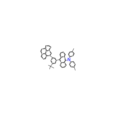 Cc1ccc(N(c2ccc(C)cc2)c2c3ccccc3c(-c3cc(-c4cc5cccc6ccc7cccc4c7c65)cc(C(C)(C)C)c3)c3ccccc23)cc1